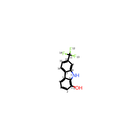 Oc1cccc2c1[nH]c1cc(C(F)(F)F)ccc12